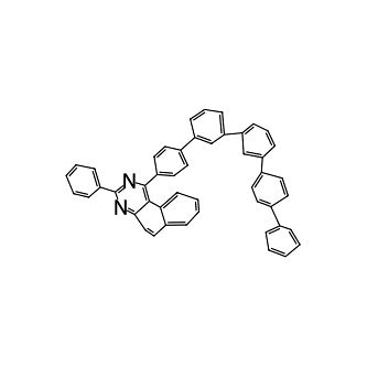 c1ccc(-c2ccc(-c3cccc(-c4cccc(-c5ccc(-c6nc(-c7ccccc7)nc7ccc8ccccc8c67)cc5)c4)c3)cc2)cc1